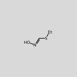 C[CH]SC=NO